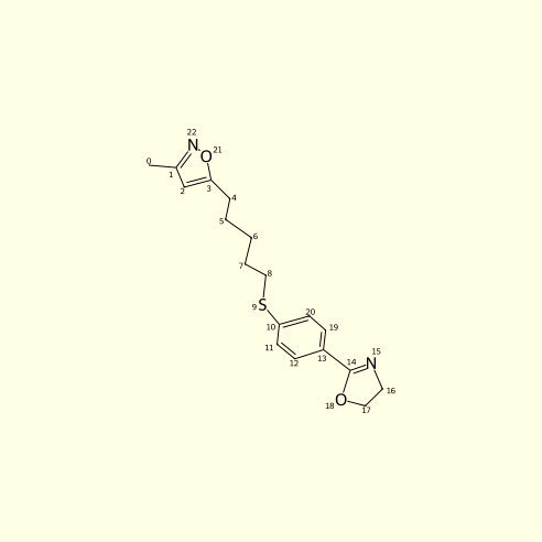 Cc1cc(CCCCCSc2ccc(C3=NCCO3)cc2)on1